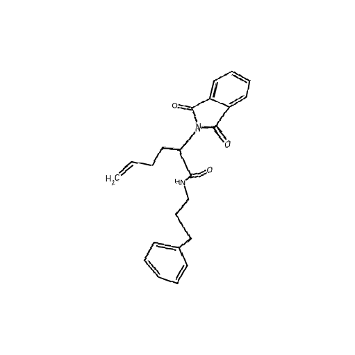 C=CCCC(C(=O)NCCCc1ccccc1)N1C(=O)c2ccccc2C1=O